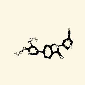 COc1cc(-c2ccc3c(c2)CN(c2cncc(C#N)c2)C3=O)cnc1OC